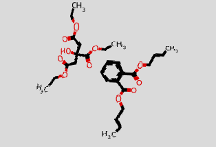 CCCCOC(=O)c1ccccc1C(=O)OCCCC.CCOC(=O)CC(O)(CC(=O)OCC)C(=O)OCC